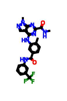 CNC(=O)c1nc(Nc2cc(C(=O)Nc3cccc(C(F)(F)F)c3)ccc2C)c2cnn(C)c2n1